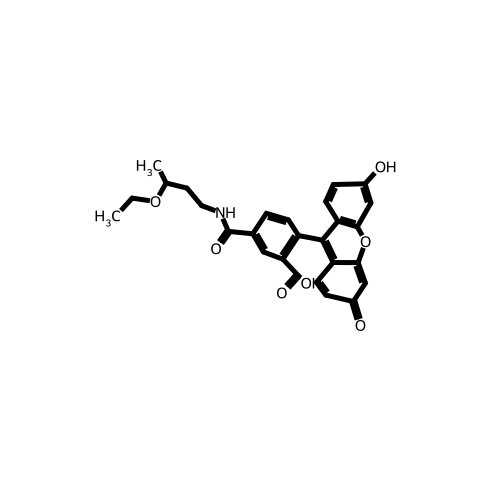 CCOC(C)CCNC(=O)c1ccc(-c2c3ccc(=O)cc-3oc3cc(O)ccc23)c(C(=O)O)c1